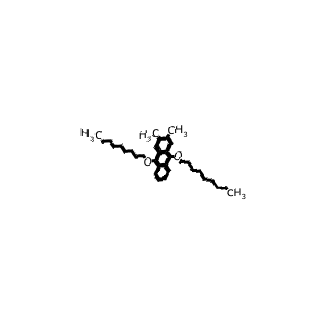 CCCCCCCCCOc1c2ccccc2c(OCCCCCCCCC)c2cc(C)c(C)cc12